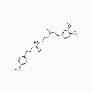 COc1ccc(CCN(C)CCCNC(=O)C/C=C/c2ccc(SC)cc2)cc1OC